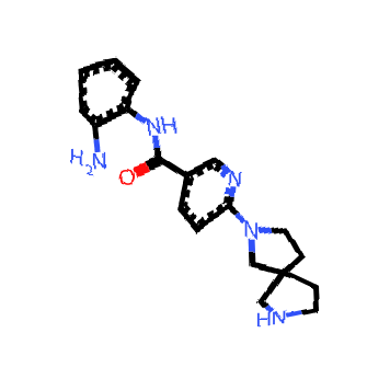 Nc1ccccc1NC(=O)c1ccc(N2CCC3(CCNC3)C2)nc1